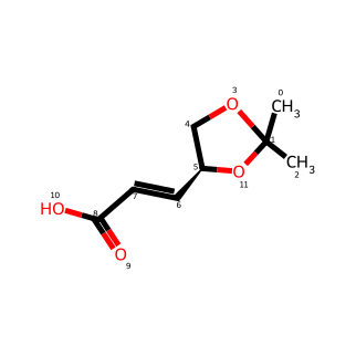 CC1(C)OC[C@H](C=CC(=O)O)O1